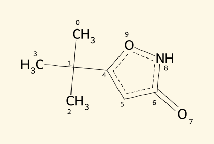 CC(C)(C)c1cc(=O)[nH]o1